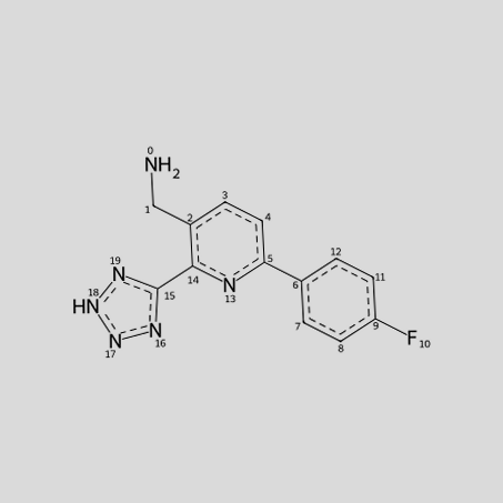 NCc1ccc(-c2ccc(F)cc2)nc1-c1nn[nH]n1